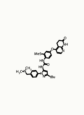 CSc1cc(Oc2ccnc3c2CCC(=O)N3)ccc1NC(=O)Nc1cc(C(C)(C)C)nn1-c1ccc(CN(C)C)cc1